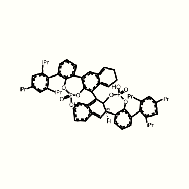 CC(C)c1cc(C(C)C)c(-c2cccc3c2OP(=O)(O)Oc2c-3cc3c(c2C2=c4ccccc4=C[C@@H]4c5cccc(-c6c(C(C)C)cc(C(C)C)cc6C(C)C)c5OP(=O)(O)OC24)=CCCC=3)c(C(C)C)c1